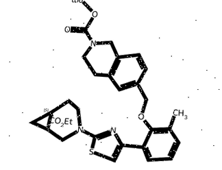 CCOC(=O)[C@@]12CCN(c3nc(-c4cccc(C)c4OCc4ccc5c(c4)CCN(C(=O)OC(C)(C)C)C5)cs3)CC1C2